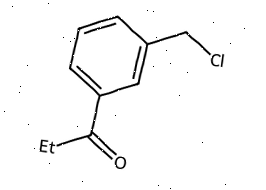 CCC(=O)c1cccc(CCl)c1